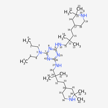 CCCN(CCC)c1nc(NCC(C)(C)CCC2CCNC(C)(C)C2)nc(NCC(C)(C)CCC2CCNC(C)(C)C2)n1